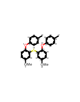 COc1ccc(Oc2ccc(C)cc2)c(Sc2cc(OC)ccc2Oc2ccc(C)cc2)c1